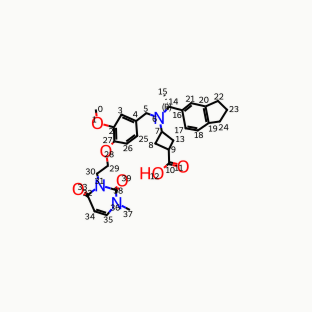 COc1cc(CN(C2CC(C(=O)O)C2)[C@H](C)c2ccc3c(c2)CCC3)ccc1OCCn1c(=O)ccn(C)c1=O